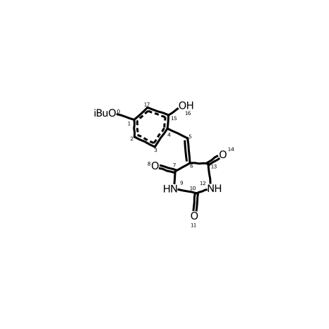 CC(C)COc1ccc(C=C2C(=O)NC(=O)NC2=O)c(O)c1